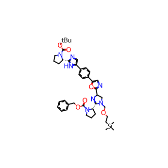 CC(C)(C)OC(=O)N1CCC[C@H]1c1ncc(-c2ccc(-c3cnc(C4CN(COCC[Si](C)(C)C)C([C@@H]5CCCN5C(=O)OCc5ccccc5)=N4)o3)cc2)[nH]1